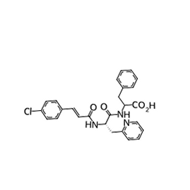 O=C(C=Cc1ccc(Cl)cc1)N[C@@H](Cc1ccccn1)C(=O)NC(Cc1ccccc1)C(=O)O